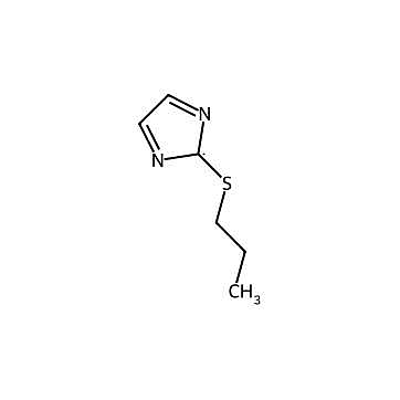 CCCS[C]1N=CC=N1